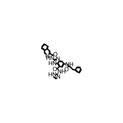 O=C(CCc1ccccc1)Nc1cc(C(=O)Nc2ncc[nH]2)c2[nH]c(NC(=O)c3cc4ccccc4cn3)nc2c1